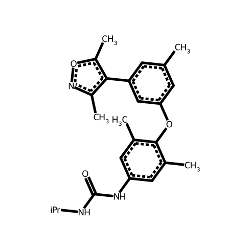 Cc1cc(Oc2c(C)cc(NC(=O)NC(C)C)cc2C)cc(-c2c(C)noc2C)c1